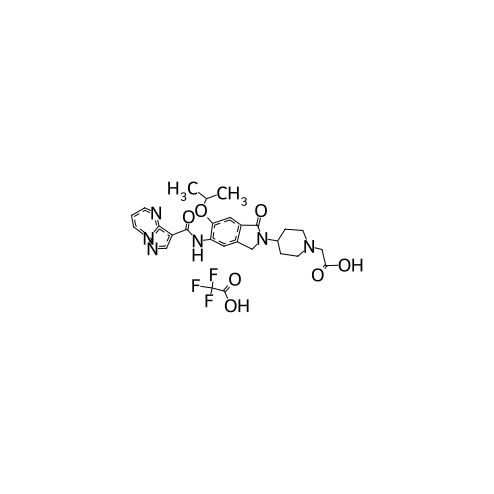 CC(C)Oc1cc2c(cc1NC(=O)c1cnn3cccnc13)CN(C1CCN(CC(=O)O)CC1)C2=O.O=C(O)C(F)(F)F